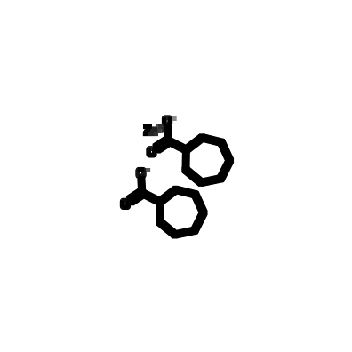 O=C([O-])C1CCCCCC1.O=C([O-])C1CCCCCC1.[Zn+2]